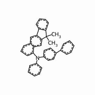 CC1(C)c2ccccc2-c2cc3cccc(N(c4ccccc4)c4ccc(-c5ccccc5)cc4)c3cc21